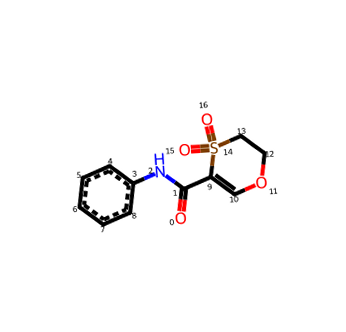 O=C(Nc1ccccc1)C1=COCCS1(=O)=O